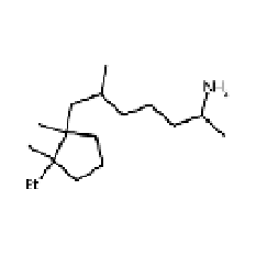 CCC1(C)CCCC1(C)CC(C)CCCC(C)N